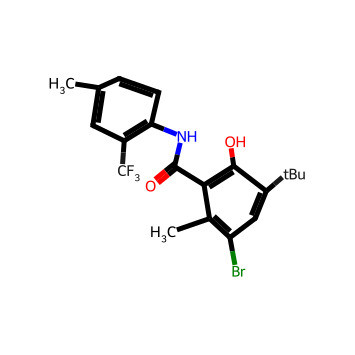 Cc1ccc(NC(=O)c2c(C)c(Br)cc(C(C)(C)C)c2O)c(C(F)(F)F)c1